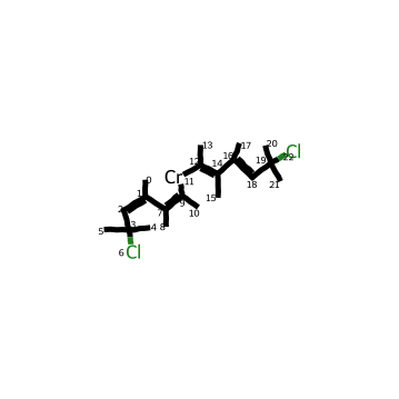 CC(=CC(C)(C)Cl)C(C)=[C](C)[Cr][C](C)=C(C)C(C)=CC(C)(C)Cl